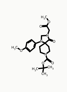 COC(=O)CN1CN(c2ccc(OC)cc2)C2(CCN(C(=O)OC(C)(C)C)CC2)C1=O